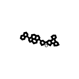 c1ccc2c(-c3ccc4ccc5c(-c6ccc7oc8cc9c%10ccccc%10c%10ccccc%10c9cc8c7c6)ccc6ccc3c4c65)cccc2c1